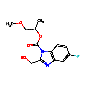 COCC(C)OC(=O)n1c(CO)nc2cc(F)ccc21